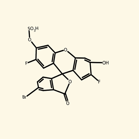 O=C1OC2(c3cc(F)c(O)cc3Oc3cc(OS(=O)(=O)O)c(F)cc32)c2ccc(Br)cc21